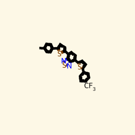 Cc1ccc(-c2ccc(-c3ccc(-c4ccc(-c5ccc(C(F)(F)F)cc5)s4)c4nsnc34)s2)cc1